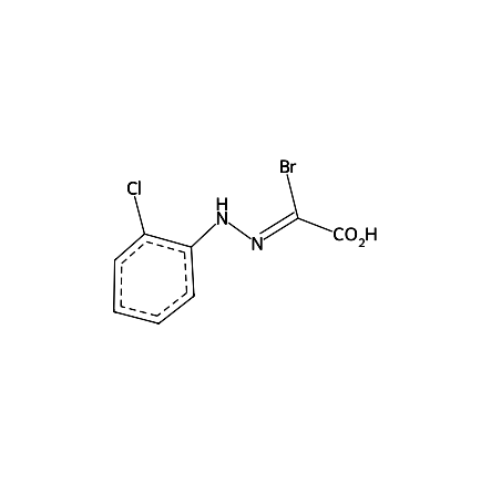 O=C(O)/C(Br)=N/Nc1ccccc1Cl